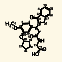 COc1ccc(C(CC(=O)NCC(=O)O)N2Cc3ccccc3C2=O)cc1OC1CCCC1